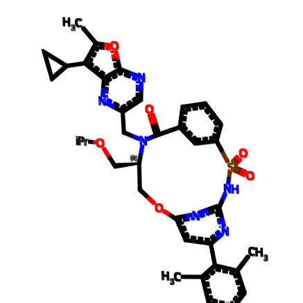 Cc1cccc(C)c1-c1cc2nc(n1)NS(=O)(=O)c1cccc(c1)C(=O)N(Cc1cnc3oc(C)c(C4CC4)c3n1)[C@H](COC(C)C)CO2